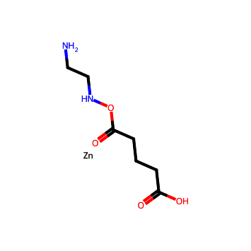 NCCNOC(=O)CCCC(=O)O.[Zn]